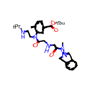 Cc1ccc(C(=O)OC(C)(C)C)cc1N(CCNC(C)C)C(=O)CNCC(=O)N(C)N1Cc2ccccc2C1